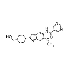 COc1cc2nn([C@H]3CC[C@H](CO)CC3)cc2cc1NC(=O)c1cncnc1